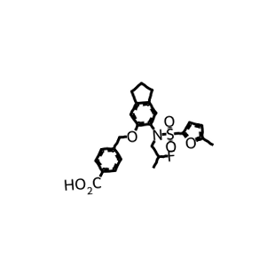 Cc1ccc(S(=O)(=O)N(CC(C)F)c2cc3c(cc2OCc2ccc(C(=O)O)cc2)CCC3)o1